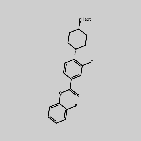 CCCCCCC[C@H]1CC[C@H](c2ccc(C(=S)Oc3ccccc3F)cc2F)CC1